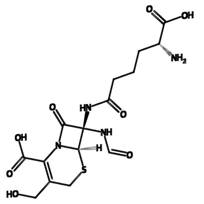 N[C@H](CCCC(=O)N[C@]1(NC=O)C(=O)N2C(C(=O)O)=C(CO)CS[C@@H]21)C(=O)O